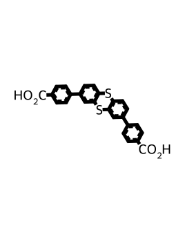 O=C(O)c1ccc(-c2ccc3c(c2)Sc2cc(-c4ccc(C(=O)O)cc4)ccc2S3)cc1